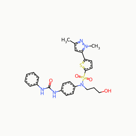 Cc1cc(-c2ccc(S(=O)(=O)N(CCCO)c3ccc(NC(=O)Nc4ccccc4)cc3)s2)n(C)n1